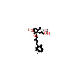 CC1=CC[C@H](C)C(C)(C)C1CC/C(C)=C/CC[C@@]1(CO)[C@H](CCCO)/C(=C(/C)C=O)CC[C@]1(C)O